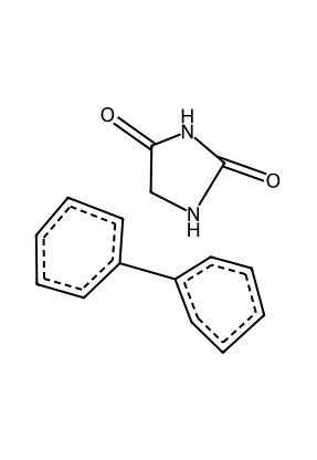 O=C1CNC(=O)N1.c1ccc(-c2ccccc2)cc1